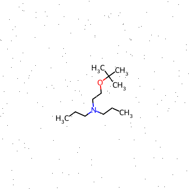 CCCN(CCC)CCOC(C)(C)C